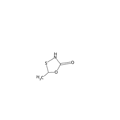 CC1OC(=O)NS1